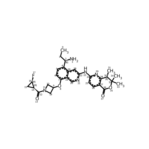 CC[C@@H](N)c1ccc(OC2CN(C(=O)[C@H]3C[C@H]3F)C2)c2cnc(Nc3ccc4c(n3)[C@@H](C)C(C)(C)OC4=O)cc12